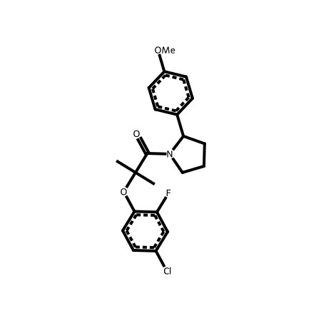 COc1ccc(C2CCCN2C(=O)C(C)(C)Oc2ccc(Cl)cc2F)cc1